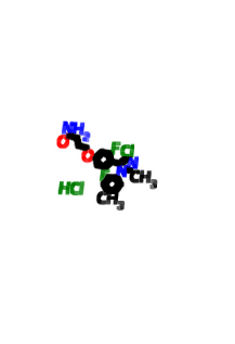 Cc1ccc(-n2c(C)nc(Cl)c2-c2c(F)cc(OCCCC(N)=O)cc2F)cc1.Cl